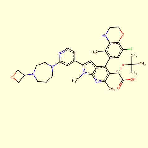 Cc1nc2c(cc(-c3ccnc(N4CCCN(C5COC5)CC4)c3)n2C)c(-c2cc(F)c3c(c2C)NCCO3)c1[C@H](OC(C)(C)C)C(=O)O